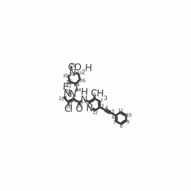 Cc1cc(C#Cc2ccccc2)cnc1NC(=O)c1c(Cl)cnn1C[C@@H]1CCN(C(=O)O)C[C@H]1F